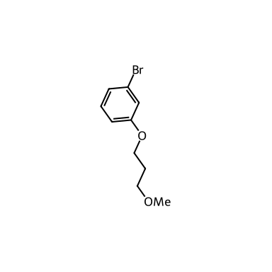 COCCCOc1cccc(Br)c1